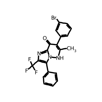 Cc1[nH]n2c(-c3ccccc3)c(C(F)(F)F)nc2c(=O)c1-c1cccc(Br)c1